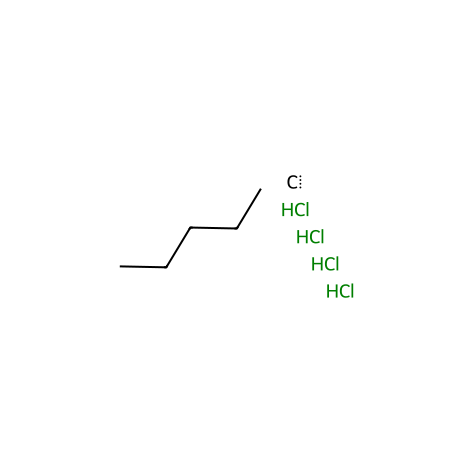 CCCCC.Cl.Cl.Cl.Cl.[C]